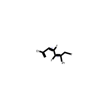 C=C(/C=C(F)\C(F)=C(/CF)C(C)C)CC